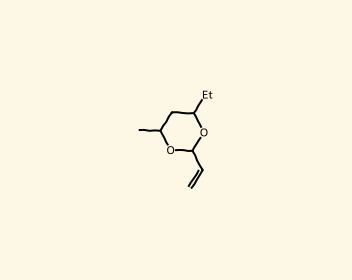 C=CC1OC(C)CC(CC)O1